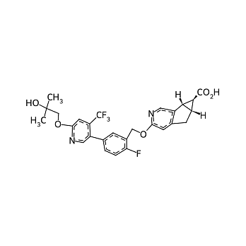 CC(C)(O)COc1cc(C(F)(F)F)c(-c2ccc(F)c(COc3cc4c(cn3)[C@H]3[C@@H](C4)[C@@H]3C(=O)O)c2)cn1